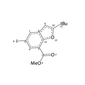 COC(=O)c1cc(I)cc2cc(C(C)(C)C)oc12